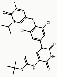 Cc1cc(Oc2c(Cl)cc(-n3nc(NC(=O)OC(C)(C)C)c(=O)[nH]c3=O)cc2Cl)cn(C(C)C)c1=O